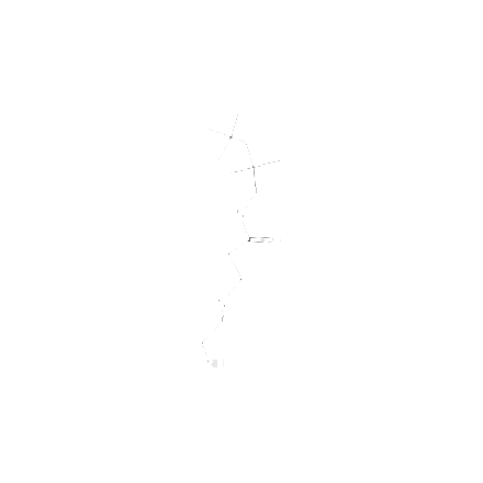 CC(C)(C)CC(C)(C)CNC(=O)CCNCCN